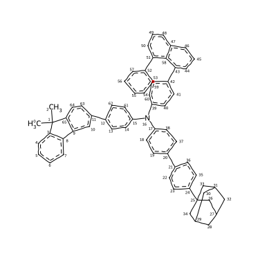 CC1(C)c2ccccc2-c2cc(-c3ccc(N(c4ccc(-c5ccc(C67CC8CC(CC(C8)C6)C7)cc5)cc4)c4ccc(-c5cccc6cccc(-c7ccccc7)c56)cc4)cc3)ccc21